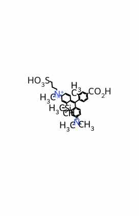 Cc1cc(C(=O)O)ccc1C1=C2C=C/C(=[N+](/C)CCCS(=O)(=O)O)C=C2[Si](C)(C)c2cc(N(C)C)ccc21